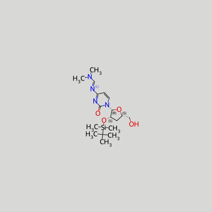 CN(C)/C=N/c1ccn([C@@H]2O[C@H](CO)C[C@@H]2O[Si](C)(C)C(C)(C)C)c(=O)n1